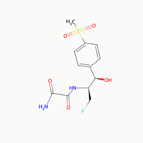 CS(=O)(=O)c1ccc([C@@H](O)[C@@H](CF)NC(=O)C(N)=O)cc1